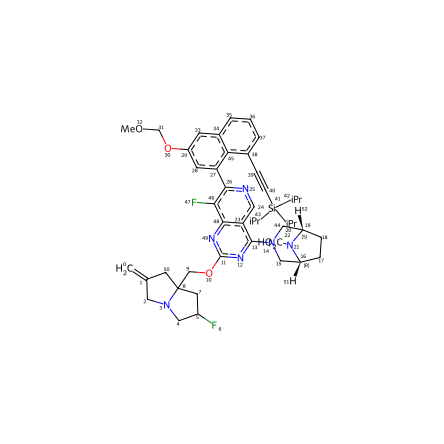 C=C1CN2CC(F)CC2(COc2nc(N3C[C@H]4CC[C@@H](C3)N4C(=O)O)c3cnc(-c4cc(OCOC)cc5cccc(C#C[Si](C(C)C)(C(C)C)C(C)C)c45)c(F)c3n2)C1